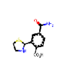 NC(=O)c1ccc(C(=O)O)c(C2NCCS2)c1